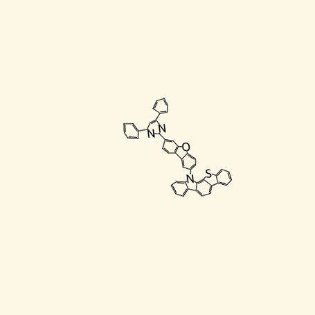 c1ccc(-c2cc(-c3ccccc3)nc(-c3ccc4c(c3)oc3ccc(-n5c6ccccc6c6ccc7c8ccccc8sc7c65)cc34)n2)cc1